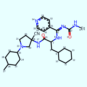 CCNC(=O)/N=C(\NC(CC1CCCCC1)C(=O)NC1(C#N)CCN(C2CCC(C)CC2)C1)c1ccncc1